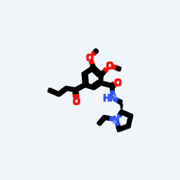 CCCC(=O)c1cc(OC)c(OC)c(C(=O)NC[C@@H]2CCCN2CC)c1